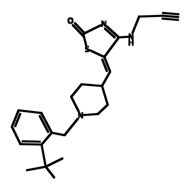 C#CCNC1=NC(=O)S/C1=C\C1CCN(Cc2ccccc2C(C)(C)C)CC1